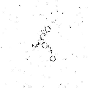 CN1CN(Cc2nc3ccccc3o2)CC2=C1CCN(CC#Cc1ccccc1)C2